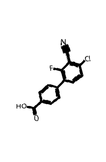 N#Cc1c(Cl)ccc(-c2ccc(C(=O)O)cc2)c1F